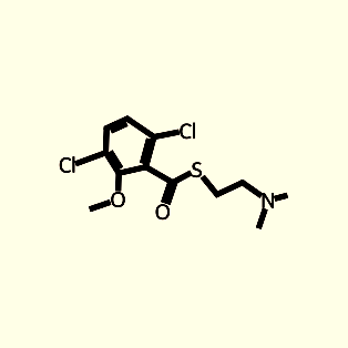 COc1c(Cl)ccc(Cl)c1C(=O)SCCN(C)C